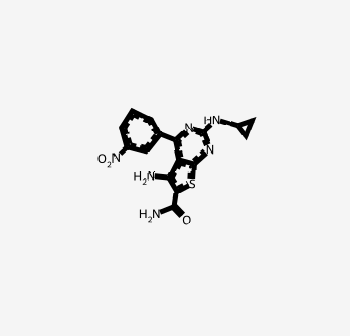 NC(=O)c1sc2nc(NC3CC3)nc(-c3cccc([N+](=O)[O-])c3)c2c1N